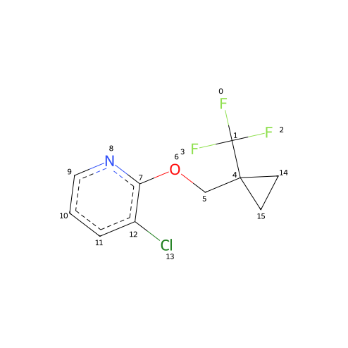 FC(F)(F)C1(COc2ncccc2Cl)CC1